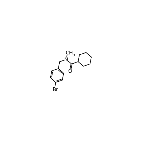 CN(Cc1ccc(Br)cc1)C(=O)C1CCCCC1